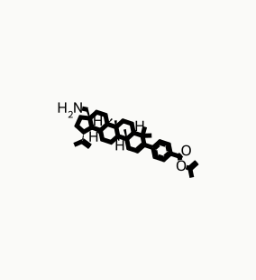 C=C(C)OC(=O)c1ccc(C2=CC[C@]3(C)[C@H]4CC[C@@H]5[C@H]6[C@H](C(=C)C)CC[C@]6(CN)CC[C@@]5(C)[C@]4(C)CC[C@H]3C2(C)C)cc1